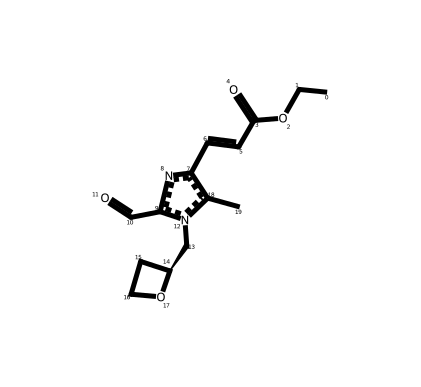 CCOC(=O)/C=C/c1nc(C=O)n(C[C@@H]2CCO2)c1C